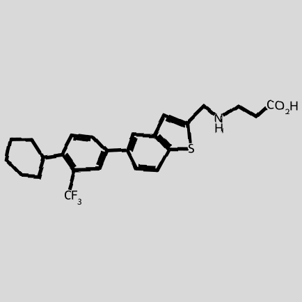 O=C(O)CCNCc1cc2cc(-c3ccc(C4CCCCC4)c(C(F)(F)F)c3)ccc2s1